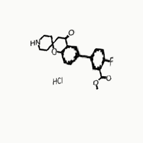 COC(=O)c1cc(-c2ccc3c(c2)C(=O)CC2(CCNCC2)O3)ccc1F.Cl